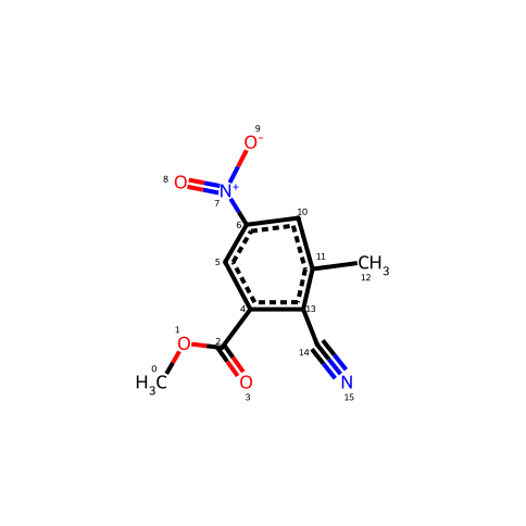 COC(=O)c1cc([N+](=O)[O-])cc(C)c1C#N